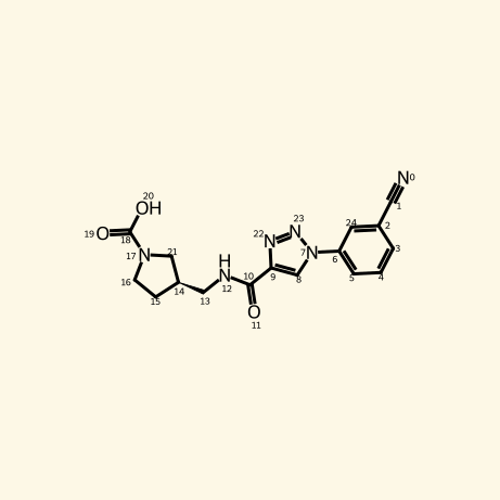 N#Cc1cccc(-n2cc(C(=O)NC[C@H]3CCN(C(=O)O)C3)nn2)c1